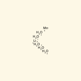 O.O.O.O.O.[Li].[Mn]